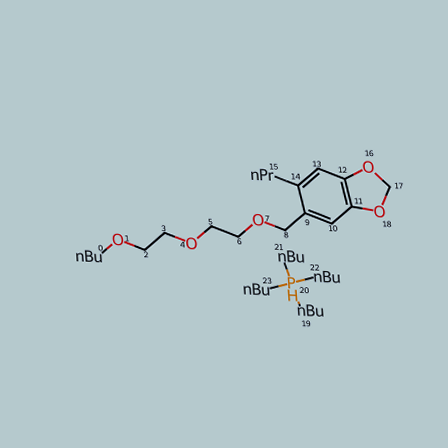 CCCCOCCOCCOCc1cc2c(cc1CCC)OCO2.CCCC[PH](CCCC)(CCCC)CCCC